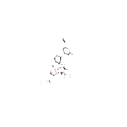 CC#Cc1cncc(-c2ccc3c(c2)[C@]2(N=C(C)C(N)=N2)[C@]2(CC[C@H](OC)CC2)C3)c1